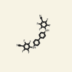 N#Cc1c(F)c(F)c(Nc2ccc(-c3ccc(Nc4c(F)c(F)c(C#N)c(F)c4F)cc3)cc2)c(F)c1F